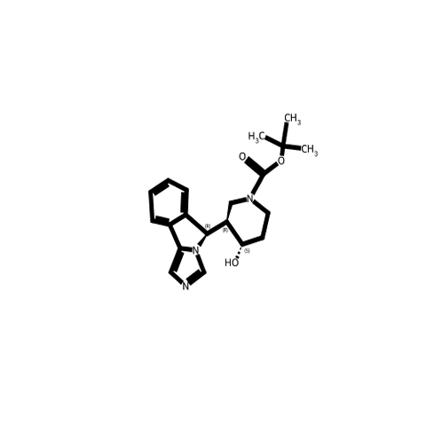 CC(C)(C)OC(=O)N1CC[C@H](O)[C@@H]([C@@H]2c3ccccc3-c3cncn32)C1